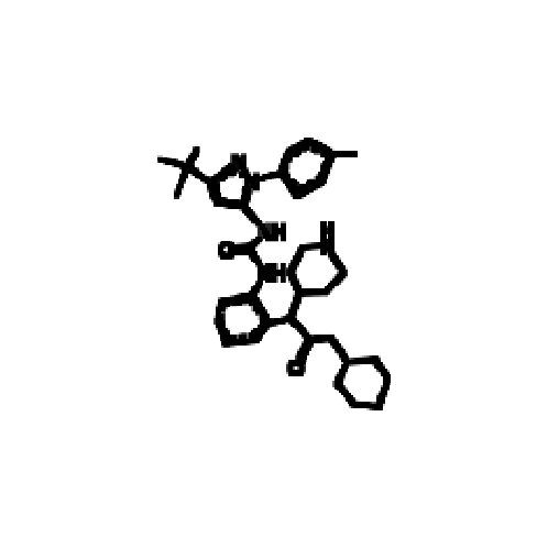 Cc1ccc(-n2nc(C(C)(C)C)cc2NC(=O)Nc2ccccc2C(C(=O)CC2CCCCC2)C2CCNCC2)cc1